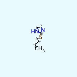 CCCCSC1[N]CCN1